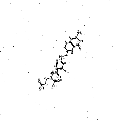 Nc1nc2ncc(CNc3ccc(C(=O)N[C@@H](CCC(=O)O)C(=O)O)c([18F])c3)nc2c(=O)[nH]1